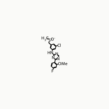 COc1cc(F)ccc1-c1ncnc(Nc2cc(Cl)cc(C[S+](C)[O-])c2)n1